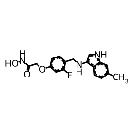 Cc1ccc2c(NCc3ccc(OCC(=O)NO)cc3F)c[nH]c2c1